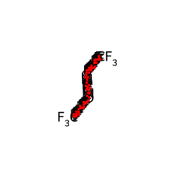 FC(F)(F)C(F)(F)C(F)(F)C(F)(F)C(F)(F)C(F)(F)/C=C/C(F)(F)C(F)(F)C(F)(F)C(F)(F)C(F)(F)C(F)(F)CCOc1cnc(OCC(F)(F)C(F)(F)C(F)(F)C(F)(F)COc2ncc(OCCC(F)(F)C(F)(F)C(F)(F)C(F)(F)C(F)(F)C(F)(F)/C=C/C(F)(F)C(F)(F)C(F)(F)C(F)(F)C(F)(F)C(F)(F)F)cn2)nc1